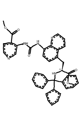 COC(=O)c1ccncc1NC(=O)Nc1ccc(C[C@H](NC(c2ccccc2)(c2ccccc2)c2ccccc2)C(=O)OC)c2cccnc12